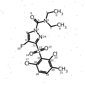 CCN(CC)C(=O)n1cc(F)c(S(=O)(=O)c2c(Cl)ccc(C)c2Cl)n1